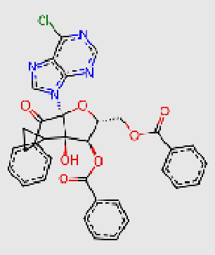 O=C(OC[C@H]1O[C@@](C(=O)c2ccccc2)(n2cnc3c(Cl)ncnc32)[C@@](O)(C2CC2)[C@@H]1OC(=O)c1ccccc1)c1ccccc1